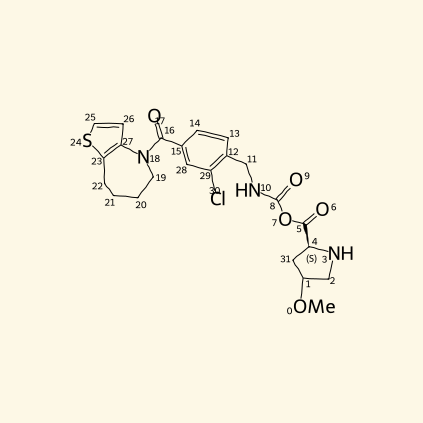 COC1CN[C@H](C(=O)OC(=O)NCc2ccc(C(=O)N3CCCCc4sccc43)cc2Cl)C1